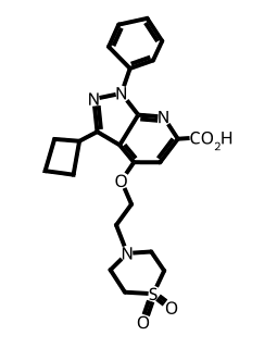 O=C(O)c1cc(OCCN2CCS(=O)(=O)CC2)c2c(C3CCC3)nn(-c3ccccc3)c2n1